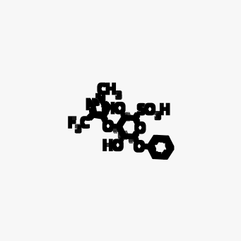 Cn1cc(O[C@@H]2[C@@H](O)[C@H](Oc3ccccc3)OC(S(=O)(=O)O)[C@H]2O)c(C(F)(F)F)n1